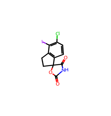 O=C1NC(=O)C2(CCc3c2ccc(Cl)c3I)O1